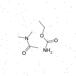 CC(=O)N(C)C.CCOC(N)=O